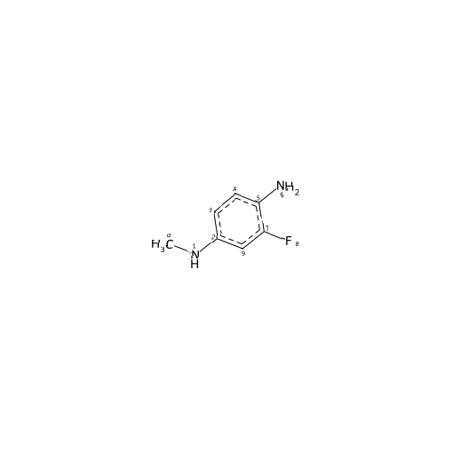 CNc1ccc(N)c(F)c1